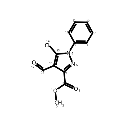 COC(=O)c1nn(-c2ccccc2)c(Cl)c1C=O